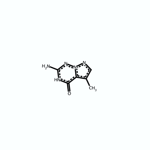 Cc1cnn2nc(N)[nH]c(=O)c12